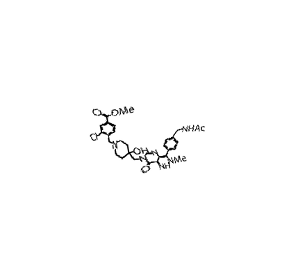 CN/C(=C1/N=CN(CC2(O)CCN(Cc3ccc(C(=O)OC)cc3Cl)CC2)C(=O)C1=N)c1ccc(CNC(C)=O)cc1